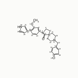 COc1cc(N2CCC3(CCN(Cc4ccc(Cl)cc4)CC3)C2=O)ccc1-c1cn[nH]c1